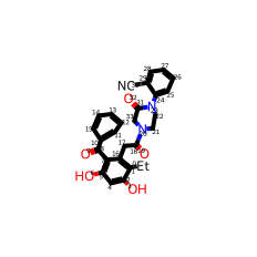 CCc1c(O)cc(O)c(C(=O)c2ccccc2)c1CC(=O)N1CCN(c2ccccc2C#N)C(=O)C1